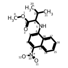 COC(=O)C(Nc1ccc([N+](=O)[O-])c2ccccc12)C(C)C